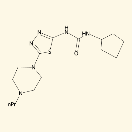 CCCN1CCN(c2nnc(NC(=O)NC3CCCC3)s2)CC1